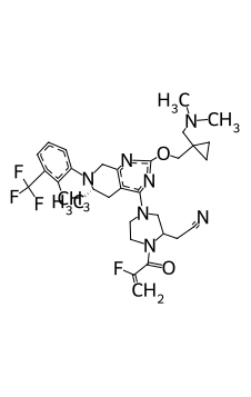 C=C(F)C(=O)N1CCN(c2nc(OCC3(CN(C)C)CC3)nc3c2C[C@H](C)N(c2cccc(C(F)(F)F)c2C)C3)CC1CC#N